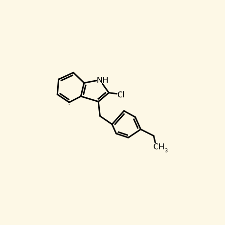 CCc1ccc(Cc2c(Cl)[nH]c3ccc[c]c23)cc1